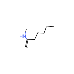 [CH]=C(CCCCC)NC